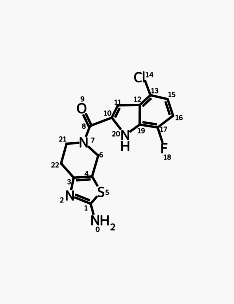 Nc1nc2c(s1)CN(C(=O)c1cc3c(Cl)ccc(F)c3[nH]1)CC2